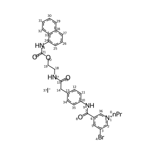 CCC[n+]1cc(Br)cc(C(=O)Nc2ccc(CC(=O)NCCOC(=O)Nc3cccc4ccccc34)cc2)c1.[I-]